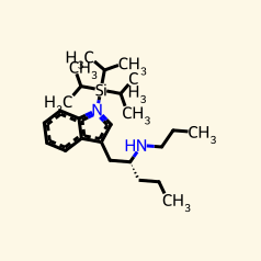 CCCN[C@H](CCC)Cc1cn([Si](C(C)C)(C(C)C)C(C)C)c2ccccc12